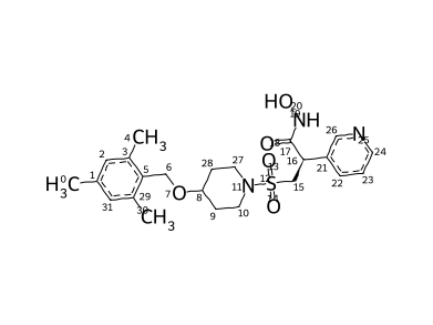 Cc1cc(C)c(COC2CCN(S(=O)(=O)C[C@@H](C(=O)NO)c3cccnc3)CC2)c(C)c1